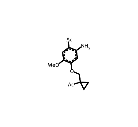 COc1cc(C(C)=O)c(N)cc1OCC1(C(C)=O)CC1